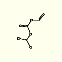 C=COC(=O)OC(Cl)Cl